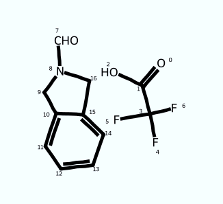 O=C(O)C(F)(F)F.O=CN1Cc2ccccc2C1